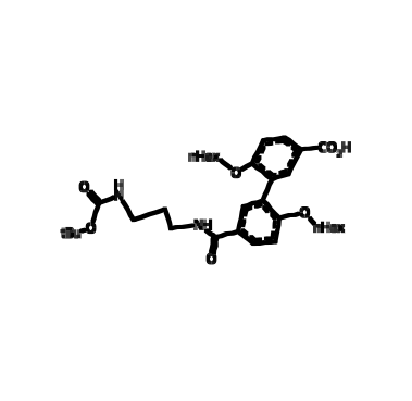 CCCCCCOc1ccc(C(=O)O)cc1-c1cc(C(=O)NCCCNC(=O)OC(C)(C)C)ccc1OCCCCCC